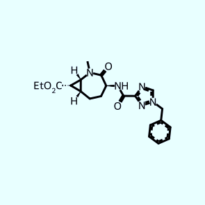 CCOC(=O)[C@H]1[C@H]2CC[C@H](NC(=O)c3ncn(Cc4ccccc4)n3)C(=O)N(C)[C@H]21